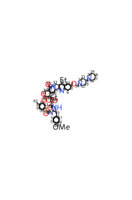 CCc1c2c(nc3ccc(OCN4CCC(N5CCCCC5)CC4)cc13)-c1cc3c(c(=O)n1C2)COC(=O)[C@@]3(CC)OC(=O)CNC(Cc1ccc(OC)cc1)=NS(=O)(=O)c1ccc(C)cc1